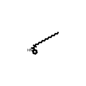 CCCCCCCCCCCCCCCC(C)(C)c1c[nH]c2ccccc12